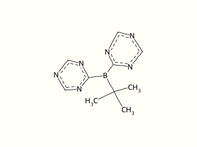 CC(C)(C)B(c1ncncn1)c1ncncn1